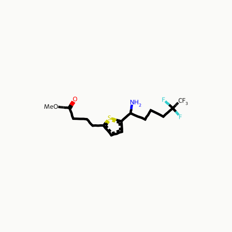 COC(=O)CCCc1ccc(C(N)CCCC(F)(F)C(F)(F)F)s1